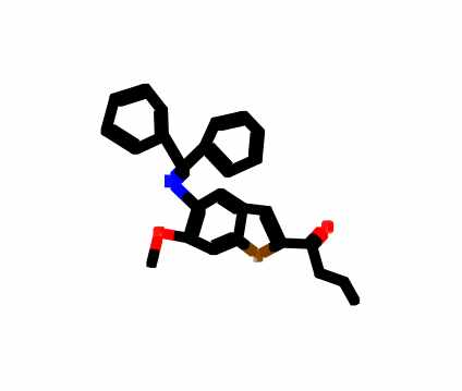 CCCC(=O)c1cc2cc(N=C(c3ccccc3)c3ccccc3)c(OC)cc2s1